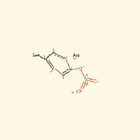 Cc1ccc(O[SH](=O)=O)cc1.[Ag]